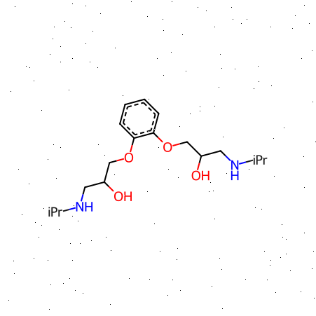 CC(C)NCC(O)COc1ccccc1OCC(O)CNC(C)C